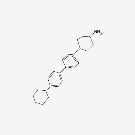 NC1CCC(c2ccc(-c3ccc(C4CCCCC4)cc3)cc2)CC1